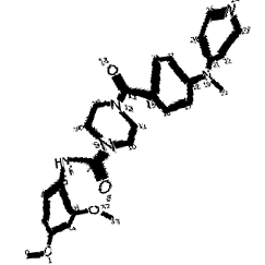 COc1ccc(NC(=O)N2CCN(C(=O)c3ccc(N(C)c4ccncc4)cc3)CC2)c(OC)c1